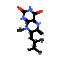 C=c1nc2c(=O)[nH]c(=O)nc-2n(CCCC)/c1=C/C(C#N)=C(\C)C#N